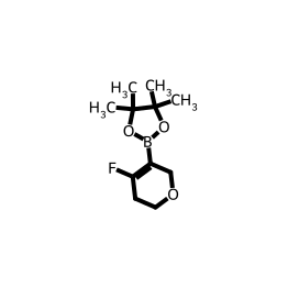 CC1(C)OB(C2=C(F)CCOC2)OC1(C)C